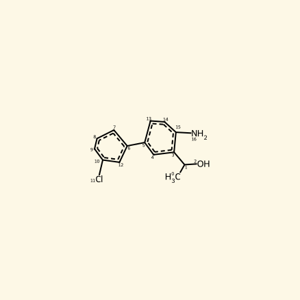 CC(O)c1cc(-c2cccc(Cl)c2)ccc1N